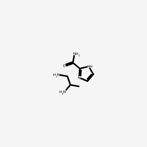 CC(N)CN.NC(=O)c1ncc[nH]1